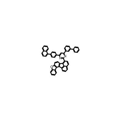 c1ccc(-c2cccc(-c3cc(-c4ccc(-c5cccc6ccccc56)cc4)nc(-c4ccc5cccc6c5c4-c4ccc5oc7ccccc7c5c4-6)n3)c2)cc1